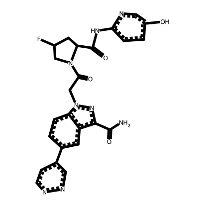 NC(=O)c1nn(CC(=O)N2CC(F)CC2C(=O)Nc2ccc(O)cn2)c2ccc(-c3ccnnc3)cc12